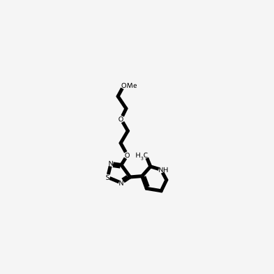 COCCOCCOc1nsnc1C1=CCCNC1C